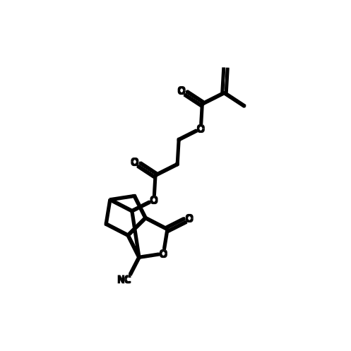 C=C(C)C(=O)OCCC(=O)OC1C2CC3C(=O)OC1(C#N)C3C2